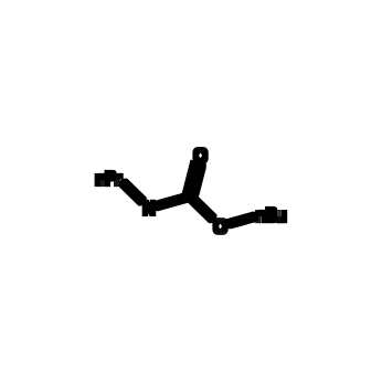 CCCCOC(=O)[N]CCC